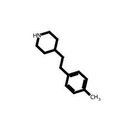 Cc1ccc(C[CH]C2CCNCC2)cc1